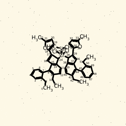 CCc1ccccc1-c1c(CC)ccc2c1C=C(c1ccc(C)o1)[CH]2[Zr]([Cl])([Cl])([CH]1C(c2ccc(C)o2)=Cc2c1ccc(CC)c2-c1ccccc1CC)=[Si](C)C